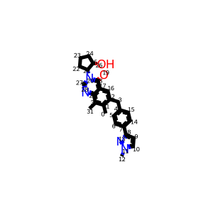 Cc1c(Cc2ccc(-c3ccn(C)n3)cc2)cc2c(=O)n(C3CCCC3O)cnc2c1C